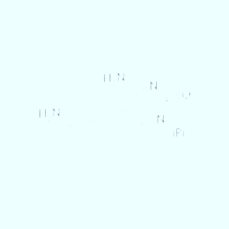 CC(C)n1cc(C#CCN)c(N)nc1=O